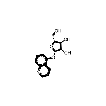 OC[C@H]1O[C@@H](Oc2cccc3ncccc23)[C@H](O)[C@@H]1O